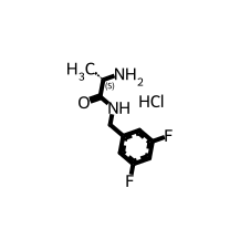 C[C@H](N)C(=O)NCc1cc(F)cc(F)c1.Cl